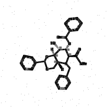 CNC(=O)[C@@H]1[C@@H](OC(=O)c2ccccc2)[C@@H](O)[C@@H]2OC(c3ccccc3)OC[C@H]2N1Cc1ccccc1